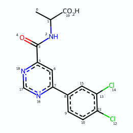 CC(NC(=O)c1cc(-c2ccc(Cl)c(Cl)c2)ncn1)C(=O)O